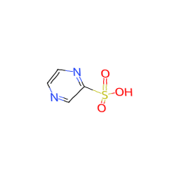 O=S(=O)(O)c1cnccn1